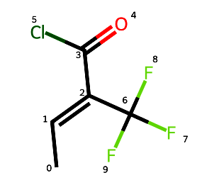 C/C=C(/C(=O)Cl)C(F)(F)F